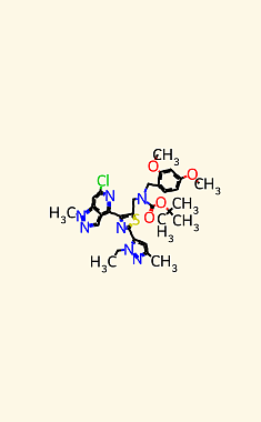 CCn1nc(C)cc1-c1nc(-c2nc(Cl)cc3c2cnn3C)c(CN(Cc2ccc(OC)cc2OC)C(=O)OC(C)(C)C)s1